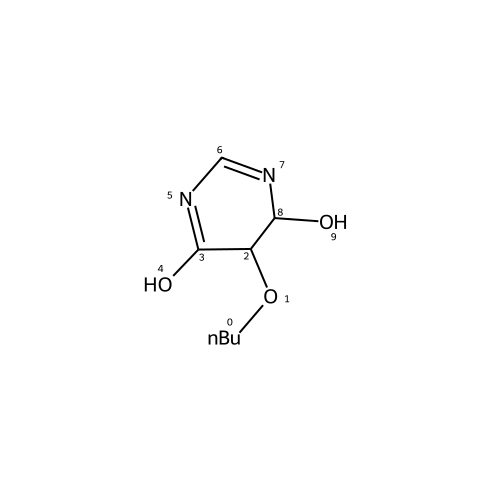 CCCCOC1C(O)=NC=NC1O